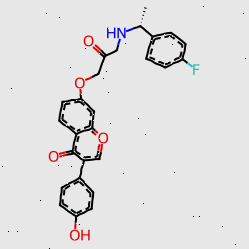 C[C@@H](NCC(=O)COc1ccc2c(=O)c(-c3ccc(O)cc3)coc2c1)c1ccc(F)cc1